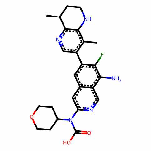 Cc1c(-c2cc3cc(N(C(=O)O)C4CCOCC4)ncc3c(N)c2F)cnc2c1NCC[C@@H]2C